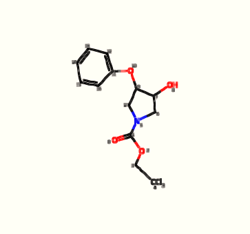 O=C(OCC(Cl)(Cl)Cl)N1CC(O)C(Oc2ccccc2)C1